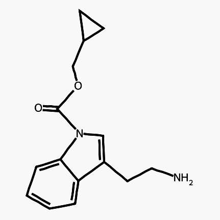 NCCc1cn(C(=O)OCC2CC2)c2ccccc12